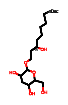 CCCCCCCCCCCCCCC[C@@H](O)CCOC1OC(CO)C(O)CC1O